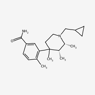 Cc1ccc(C(N)=O)cc1C1(C)CCN(CC2CC2)[C@H](C)[C@@H]1C